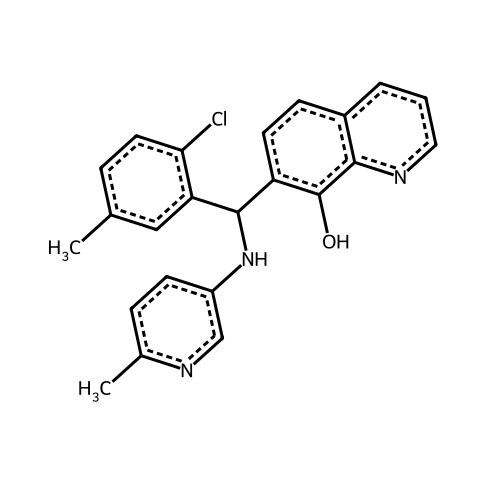 Cc1ccc(Cl)c(C(Nc2ccc(C)nc2)c2ccc3cccnc3c2O)c1